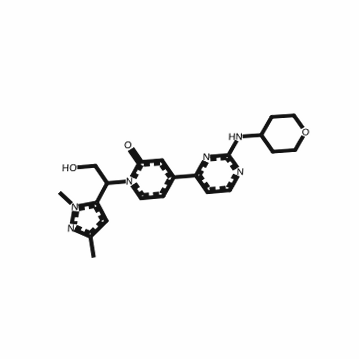 Cc1cc(C(CO)n2ccc(-c3ccnc(NC4CCOCC4)n3)cc2=O)n(C)n1